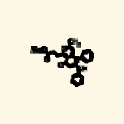 COC(=O)CCc1nc(C)cc2c1c(=O)cc(Nc1ccccc1)n2-c1ccccc1